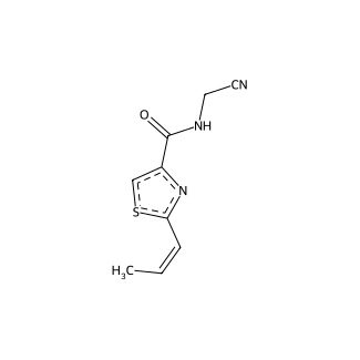 C/C=C\c1nc(C(=O)NCC#N)cs1